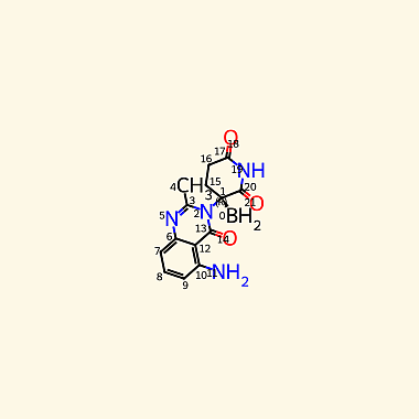 B[C@@]1(n2c(C)nc3cccc(N)c3c2=O)CCC(=O)NC1=O